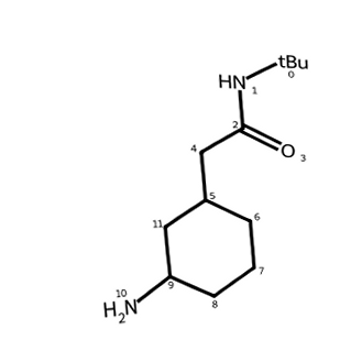 CC(C)(C)NC(=O)CC1CCCC(N)C1